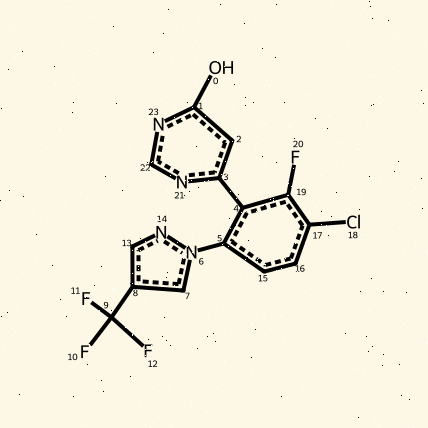 Oc1cc(-c2c(-n3cc(C(F)(F)F)cn3)ccc(Cl)c2F)ncn1